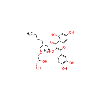 CCCCC(CC)COCC(O)CO.O=c1c(O)c(-c2ccc(O)c(O)c2)oc2cc(O)cc(O)c12